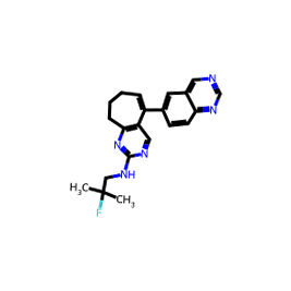 CC(C)(F)CNc1ncc2c(n1)CCCC=C2c1ccc2ncncc2c1